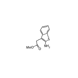 COC(=O)Cc1c(N)sc2ccccc12